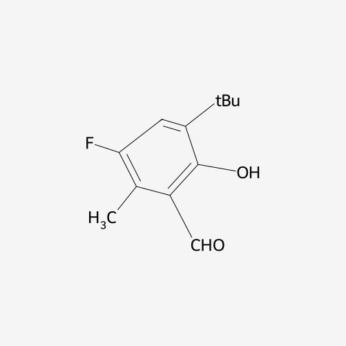 Cc1c(F)cc(C(C)(C)C)c(O)c1C=O